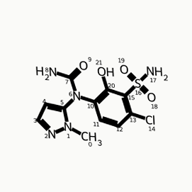 Cn1nccc1N(C(N)=O)c1ccc(Cl)c(S(N)(=O)=O)c1O